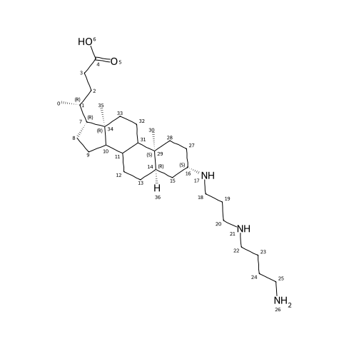 C[C@H](CCC(=O)O)[C@H]1CCC2C3CC[C@@H]4C[C@@H](NCCCNCCCCN)CC[C@]4(C)C3CC[C@@]21C